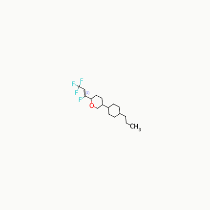 CCCC1CCC(C2CCC(/C(F)=C/C(F)(F)F)OC2)CC1